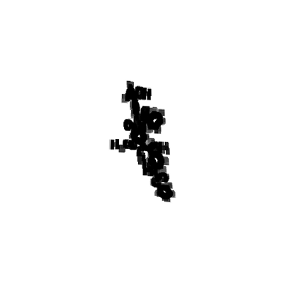 COc1cc(C(=O)N(C#CC2(O)CC2)S(=O)(=O)c2ccccc2)ccc1C(C)c1c[nH]c2ccc(NC(=O)OC3CCCC3)cc12